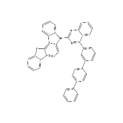 c1ccc(-c2ccc(-c3cccc(-c4nc(-n5c6ccccc6c6c7oc8ccccc8c7ccc65)nc5ccccc45)c3)cc2)cc1